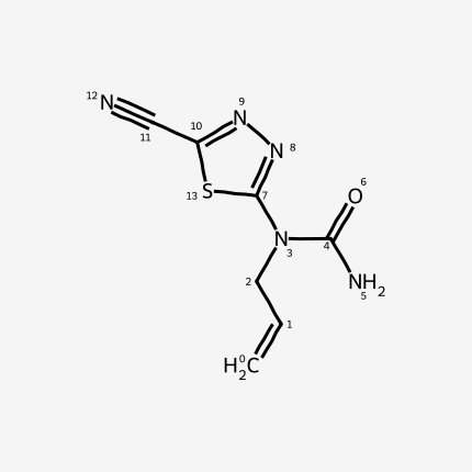 C=CCN(C(N)=O)c1nnc(C#N)s1